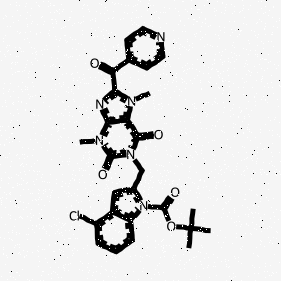 Cn1c(C(=O)c2ccncc2)nc2c1c(=O)n(Cc1cc3c(Cl)cccc3n1C(=O)OC(C)(C)C)c(=O)n2C